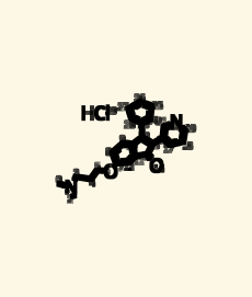 CN(C)CCCOc1ccc2c(c1)C(=O)C(c1cccnc1)=C2c1ccccc1.Cl